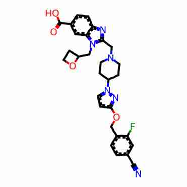 N#Cc1ccc(COc2ccn(C3CCN(Cc4nc5ccc(C(=O)O)cc5n4CC4CCO4)CC3)n2)c(F)c1